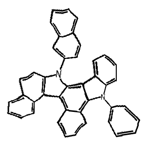 c1ccc(-n2c3ccccc3c3c2c2ccccc2c2c4c5ccccc5ccc4n(-c4ccc5ccccc5c4)c23)cc1